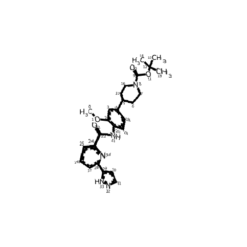 COc1cc(C2CCN(C(=O)OC(C)(C)C)CC2)ccc1NC(=O)c1cccc(-c2ccn[nH]2)n1